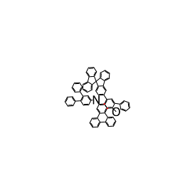 c1ccc(-c2ccc(N(c3ccc4c5ccccc5c5ccccc5c4c3)c3cc4c(cc3-c3ccc5oc6ccccc6c5c3)-c3ccccc3C43c4ccccc4-c4ccccc43)cc2-c2ccccc2)cc1